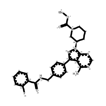 CC(C)(C)OC(=O)N1CCC[C@@H](n2nc(-c3ccc(CNC(=O)c4ccccc4F)cc3)c3c(N)ncnc32)C1